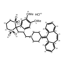 COc1ccc(C2(CCCN3CCC(=C4c5ccccc5C=Cc5ccccc54)CC3)S(=O)(=O)CCCS2(=O)=O)cc1OC.Cl